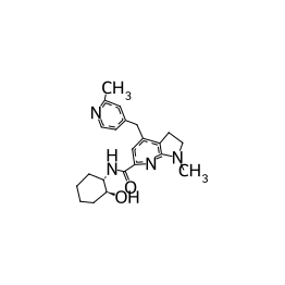 Cc1cc(Cc2cc(C(=O)N[C@H]3CCCC[C@@H]3O)nc3c2CCN3C)ccn1